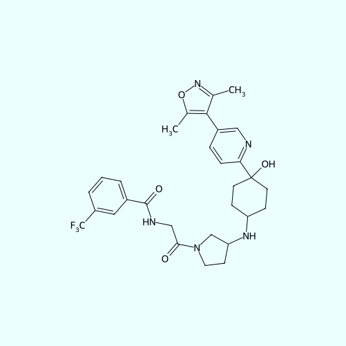 Cc1noc(C)c1-c1ccc(C2(O)CCC(NC3CCN(C(=O)CNC(=O)c4cccc(C(F)(F)F)c4)C3)CC2)nc1